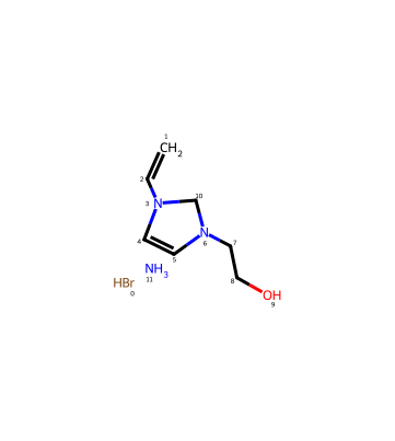 Br.C=CN1C=CN(CCO)C1.N